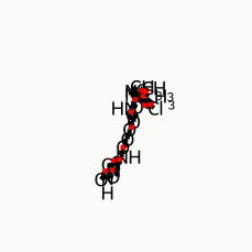 Cc1sc2c(c1C)C(c1ccc(Cl)cc1)=N[C@@H](CC(=O)Nc1ccc(OCCOCCOCCOCCNc3ccc4c(=O)n(C5CCC(=O)NC5=O)ncc4c3)cc1)c1nnc(C)n1-2